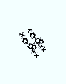 CC(C)(C)OC(=O)N1CC[C@@H]2CN(c3ccc(OC(F)(F)F)cn3)CC[C@@H]21.CC(C)(C)OC(=O)N1CC[C@H]2CN(c3ccc(OC(F)(F)F)cn3)CC[C@H]21